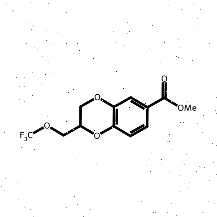 COC(=O)c1ccc2c(c1)OCC(COC(F)(F)F)O2